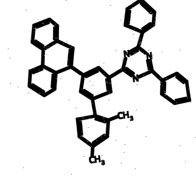 Cc1ccc(-c2cc(-c3nc(-c4ccccc4)nc(-c4ccccc4)n3)cc(-c3cc4ccccc4c4ccccc34)c2)c(C)c1